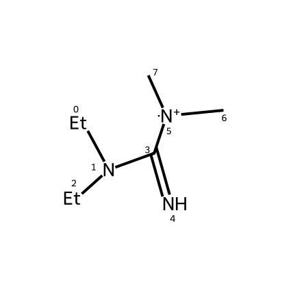 CCN(CC)C(=N)[N+](C)C